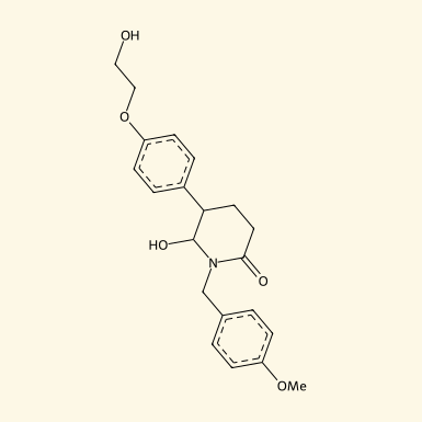 COc1ccc(CN2C(=O)CCC(c3ccc(OCCO)cc3)C2O)cc1